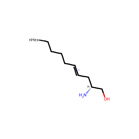 CCCCCCCCCC/C=C/C[C@@H](N)CO